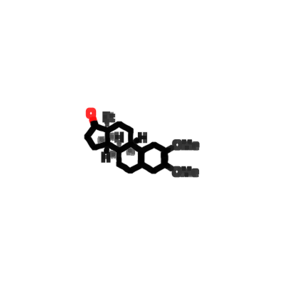 CC[C@]12CC[C@@H]3C4=C(CC[C@H]3[C@@H]1CCC2=O)CC(OC)=C(OC)C4